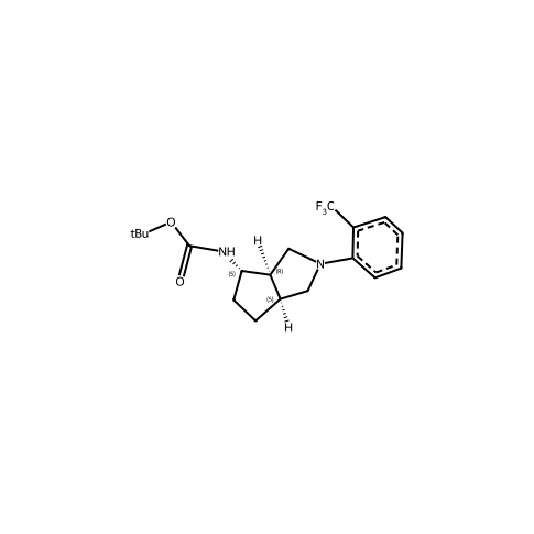 CC(C)(C)OC(=O)N[C@H]1CC[C@@H]2CN(c3ccccc3C(F)(F)F)C[C@@H]21